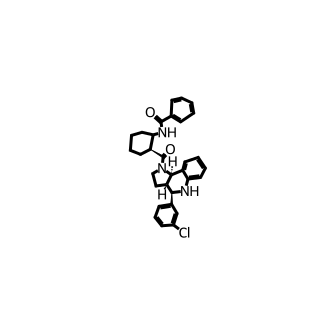 O=C(NC1CCCC[C@@H]1C(=O)N1CC[C@@H]2[C@H](c3cccc(Cl)c3)Nc3ccccc3[C@@H]21)c1ccccc1